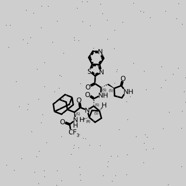 O=C1NCC[C@H]1C[C@H](NC(=O)[C@@H]1[C@H]2CC[C@H](C2)N1C(=O)[C@@H](NC(=O)C(F)(F)F)C12CC3CC(CC(C3)C1)C2)C(=O)c1nc2cnccc2s1